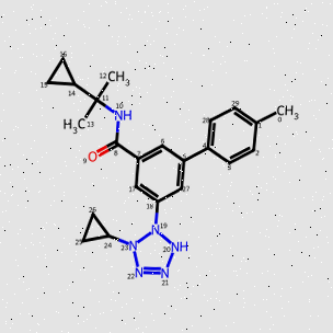 Cc1ccc(-c2cc(C(=O)NC(C)(C)C3CC3)cc(N3NN=NN3C3CC3)c2)cc1